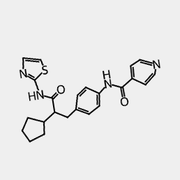 O=C(Nc1ccc(CC(C(=O)Nc2nccs2)C2CCCC2)cc1)c1ccncc1